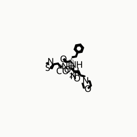 O=C(N[C@@H](CCc1ccccc1)C(=O)N[C@@H](Cc1cscn1)C(=O)O)c1cc(CN2CCOCC2)on1